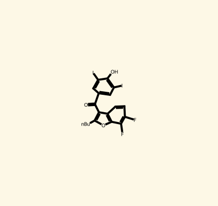 CCCCc1oc2c(F)c(F)ccc2c1C(=O)c1cc(I)c(O)c(I)c1